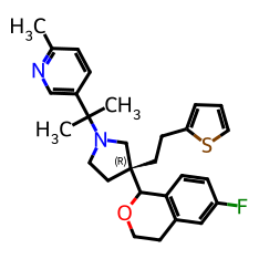 Cc1ccc(C(C)(C)N2CC[C@@](CCc3cccs3)(C3OCCc4cc(F)ccc43)C2)cn1